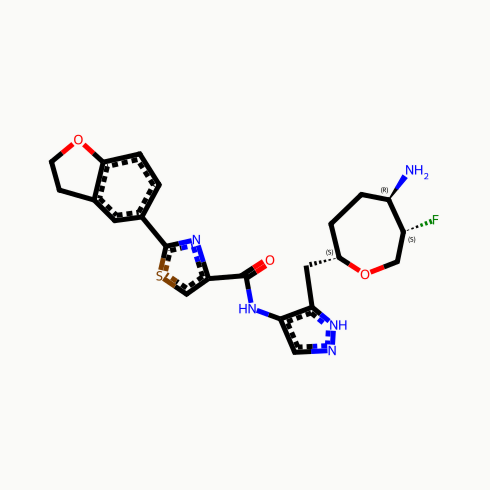 N[C@@H]1CC[C@@H](Cc2[nH]ncc2NC(=O)c2csc(-c3ccc4c(c3)CCO4)n2)OC[C@H]1F